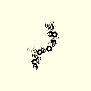 COc1cc2nn([C@H]3CC[C@H](CN4C[C@@H]5C[C@H]4CN5c4cccc5c(N6CCC(=O)NC6=O)cncc45)CC3)cc2cc1NC(=O)c1cccc(C(F)(F)F)n1